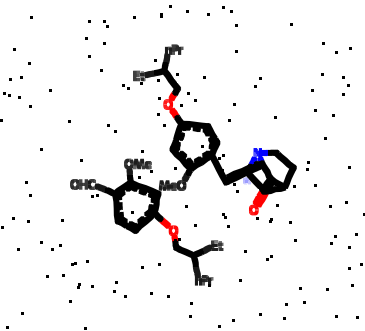 CCCC(CC)COc1ccc(/C=C2/C(=O)C3CCN2CC3)c(OC)c1.CCCC(CC)COc1ccc(C=O)c(OC)c1